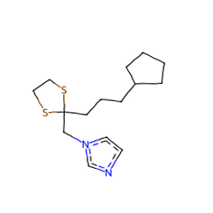 c1cn(CC2(CCCC3CCCC3)SCCS2)cn1